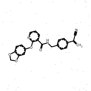 C=C(C#N)c1ccc(CNC(=O)c2cccnc2Oc2ccc3c(c2)OCO3)cc1